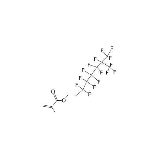 C=C(C)C(=O)OCCC(F)(F)C(F)(F)C(F)(F)C(F)(F)C(F)(C(F)(F)F)C(F)(F)F